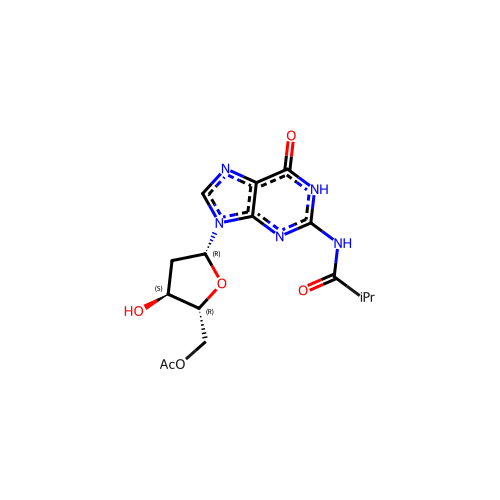 CC(=O)OC[C@H]1O[C@@H](n2cnc3c(=O)[nH]c(NC(=O)C(C)C)nc32)C[C@@H]1O